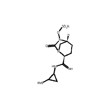 CNC1CC1NC(=N)[C@@H]1CC[C@@H]2CN1C(=O)N2OS(=O)(=O)O